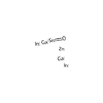 [Ga].[Ga].[In].[In].[O]=[Sn].[Zn]